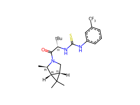 C[C@@H]1[C@@H]2[C@H](CN1C(=O)[C@@H](NC(=S)Nc1cccc(C(F)(F)F)c1)C(C)(C)C)C2(C)C